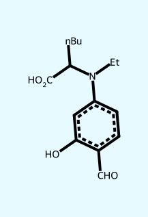 CCCCC(C(=O)O)N(CC)c1ccc(C=O)c(O)c1